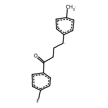 [CH2]c1ccc([CH]CCC(=O)c2ccc(F)cc2)cc1